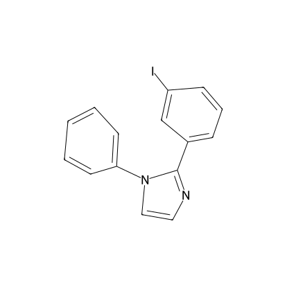 Ic1cccc(-c2nccn2-c2ccccc2)c1